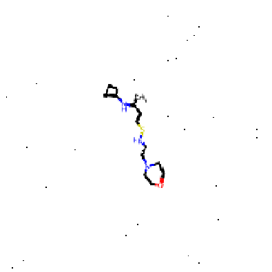 CC(CCSNCCN1CCOCC1)NC1CCC1